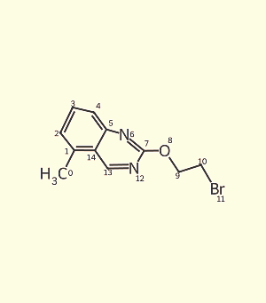 Cc1cccc2nc(OCCBr)ncc12